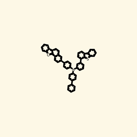 c1ccc(-c2ccc(N(c3ccc(-c4ccc5c(ccc6c7ccccc7oc56)c4)cc3)c3cccc(-c4cccc5c4sc4ccccc45)c3)cc2)cc1